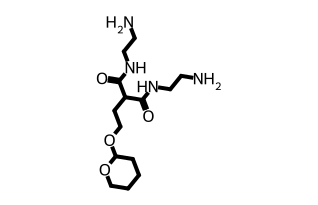 NCCNC(=O)C(CCOC1CCCCO1)C(=O)NCCN